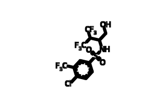 O=S(=O)(NC(CO)C(C(F)(F)F)C(F)(F)F)c1ccc(Cl)c(C(F)(F)F)c1